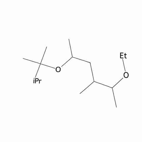 CCOC(C)C(C)CC(C)OC(C)(C)C(C)C